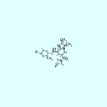 Cc1cc(F)ccc1CNc1cc(C(=O)N2CC(F)C2)cn2c(C)c(C)nc12